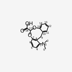 CN(C)c1cccc2c1Cc1ccccc1OC(C(=O)O)O2